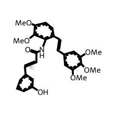 COc1cc(C=Cc2ccc(OC)c(OC)c2NC(=O)/C=C/c2cccc(O)c2)cc(OC)c1OC